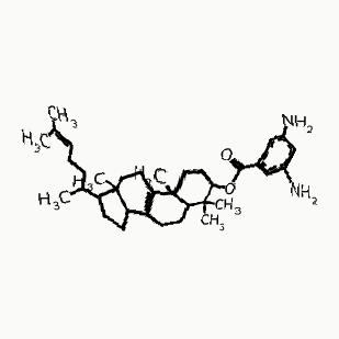 CC(C)=CCCC(C)C1CCC2C3=C(CCC21C)C1(C)CCC(OC(=O)c2cc(N)cc(N)c2)C(C)(C)C1CC3